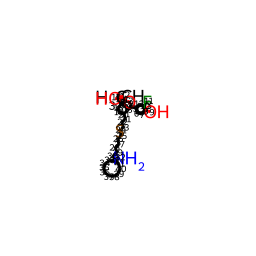 CC1(C)OC(c2ccc(O)c(F)c2)C2CC1(CO)CC=C2CCCSCCCCCCC1(N)CCCCCCCCC1